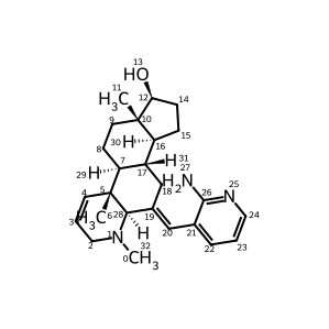 CN1CC=C[C@]2(C)[C@H]3CC[C@]4(C)[C@@H](O)CC[C@H]4[C@@H]3CC(=Cc3cccnc3N)[C@@H]12